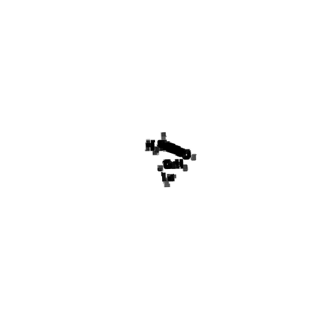 O=[SiH2].[GaH3].[La]